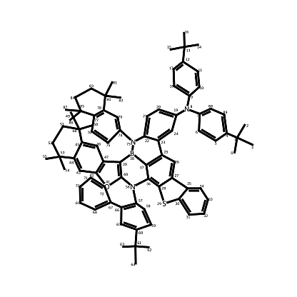 CC(C)(C)c1ccc(N(c2ccc(C(C)(C)C)cc2)c2ccc3c(c2)-c2cc4c(sc5ccccc54)c4c2B(c2c(oc5cc6c(cc25)C(C)(C)CCC6(C)C)N4c2ccc(C(C)(C)C)cc2-c2ccccc2)N3c2ccc3c(c2)C(C)(C)CCC3(C)C)cc1